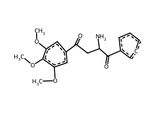 COc1cc(C(=O)CC(N)C(=O)c2ccccc2)cc(OC)c1OC